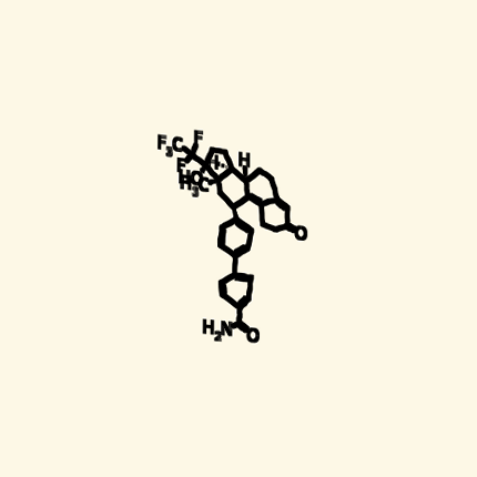 C[C@]12C[C@H](c3ccc(-c4ccc(C(N)=O)cc4)cc3)C3=C4CCC(=O)C=C4CC[C@H]3[C@@H]1CC[C@@]2(O)C(F)(F)C(F)(F)F